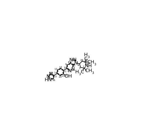 CC1(C)CC(n2nnc3cc(-c4ccc(-c5c[nH]nn5)cc4O)nnc32)CC(C)(C)N1